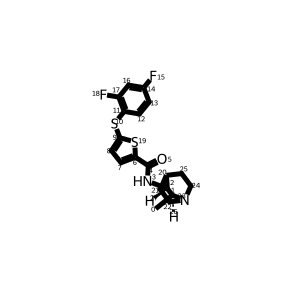 C[C@H]1[C@H](NC(=O)c2ccc(Sc3ccc(F)cc3F)s2)C2CCN1CC2